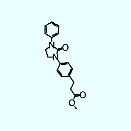 COC(=O)CCc1ccc(N2CCN(c3ccccc3)C2=O)cc1